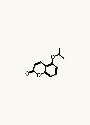 CC(C)Oc1cccc2oc(=O)ccc12